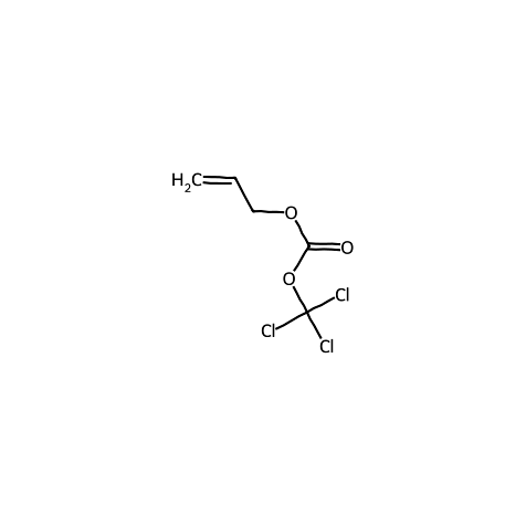 C=CCOC(=O)OC(Cl)(Cl)Cl